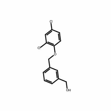 OCc1cccc(COc2ccc(Cl)cc2Cl)c1